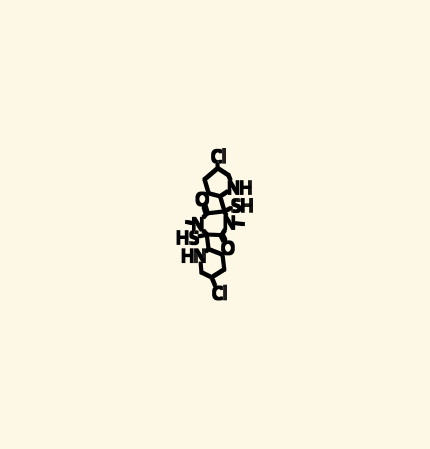 CN1C(=O)C(S)(C2CCC(Cl)CN2)N(C)C(=O)C1(S)C1CCC(Cl)CN1